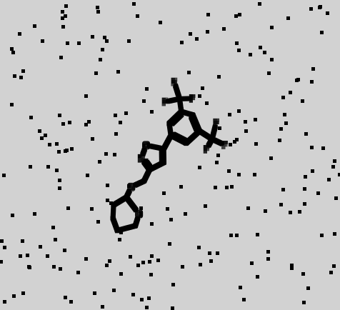 FC(F)(F)c1cc(-c2cc(COC3CCCCO3)no2)cc(C(F)(F)F)c1